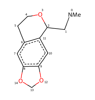 CNCC1OCCc2cc3c(cc21)OCO3